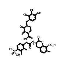 O=C(O)c1c(F)ccc2c1OB(O)[C@@H](NC(=O)[C@@H](NC(=O)N1CCN(Cc3ccc(O)c(O)c3Cl)C(=O)C1=O)c1ccc(P(=O)(O)O)c(F)c1F)C2